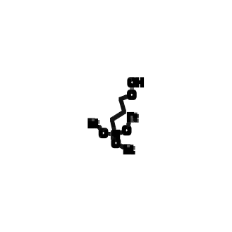 CCO[Si](CCCOO)(OCC)OCC